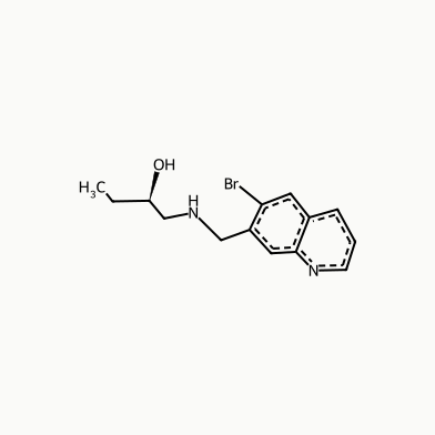 CC[C@@H](O)CNCc1cc2ncccc2cc1Br